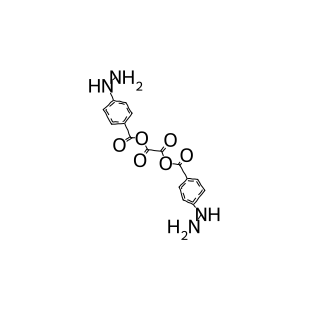 NNc1ccc(C(=O)OC(=O)C(=O)OC(=O)c2ccc(NN)cc2)cc1